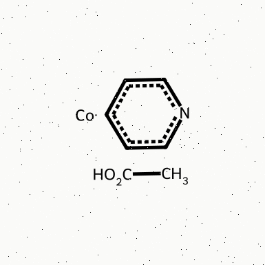 CC(=O)O.[Co].c1ccncc1